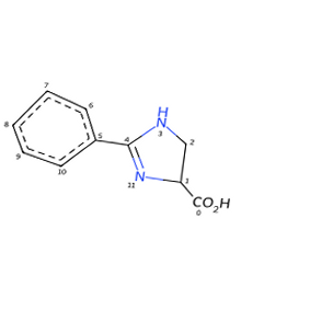 O=C(O)C1CNC(c2ccccc2)=N1